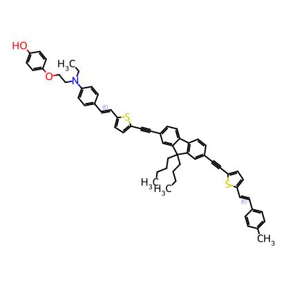 CCCCC1(CCCC)c2cc(C#Cc3ccc(/C=C/c4ccc(C)cc4)s3)ccc2-c2ccc(C#Cc3ccc(/C=C/c4ccc(N(CC)CCOc5ccc(O)cc5)cc4)s3)cc21